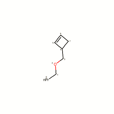 CCCCOCC1C=CC1